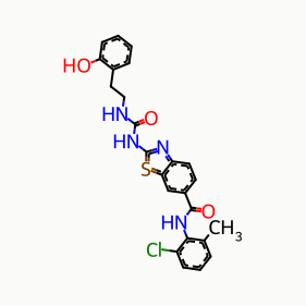 Cc1cccc(Cl)c1NC(=O)c1ccc2nc(NC(=O)NCCc3ccccc3O)sc2c1